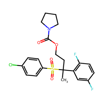 CC(CCOC(=O)N1CCCC1)(c1cc(F)ccc1F)S(=O)(=O)c1ccc(Cl)cc1